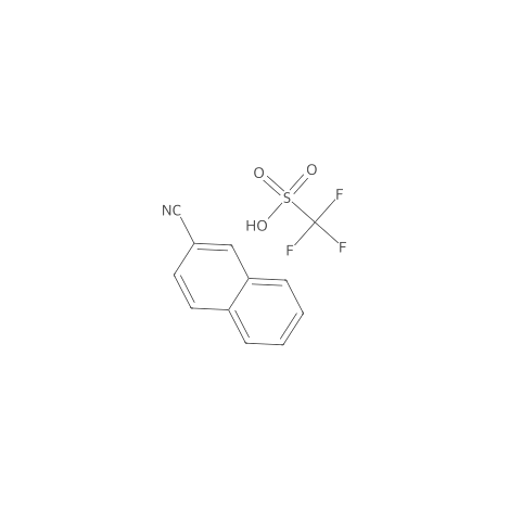 N#Cc1ccc2ccccc2c1.O=S(=O)(O)C(F)(F)F